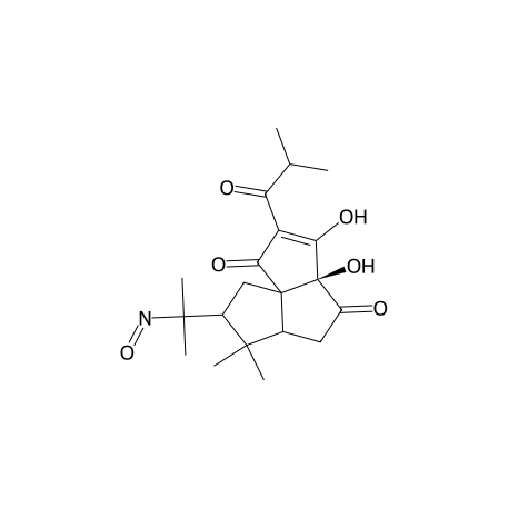 CC(C)C(=O)C1=C(O)[C@]2(O)C(=O)CC3C(C)(C)C(C(C)(C)N=O)CC32C1=O